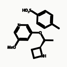 COc1cncc(OC(C)[C@@H]2CCN2)c1.Cc1ccc(S(=O)(=O)O)cc1